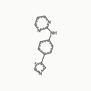 c1cnc(Nc2ccc(-c3cncs3)cc2)nc1